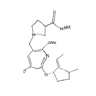 C/C=C1\C(C)CC[C@@H]1Oc1nc(OC)c(CN2CCC(C(=O)NC)C2)cc1Cl